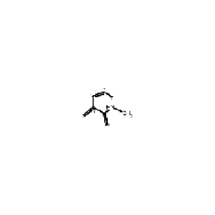 BNC(=C)C(=C)/C=C\C